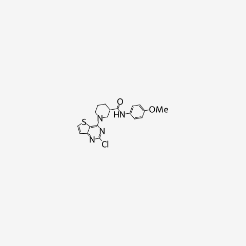 COc1ccc(NC(=O)C2CCCN(c3nc(Cl)nc4ccsc34)C2)cc1